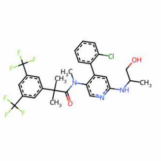 CC(CO)Nc1cc(-c2ccccc2Cl)c(N(C)C(=O)C(C)(C)c2cc(C(F)(F)F)cc(C(F)(F)F)c2)cn1